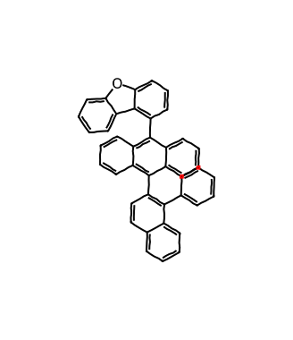 c1ccc(-c2c(-c3c4ccccc4c(-c4cccc5oc6ccccc6c45)c4ccccc34)ccc3ccccc23)cc1